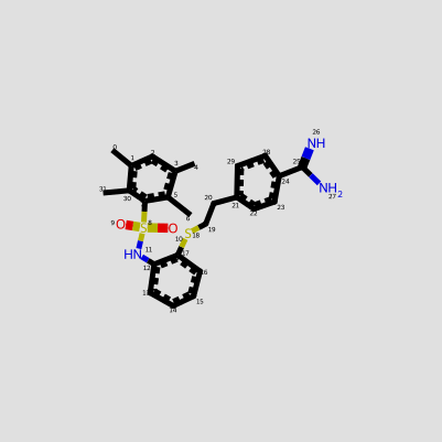 Cc1cc(C)c(C)c(S(=O)(=O)Nc2ccccc2SCCc2ccc(C(=N)N)cc2)c1C